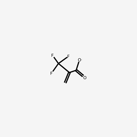 C=C(C([O])=O)C(F)(F)F